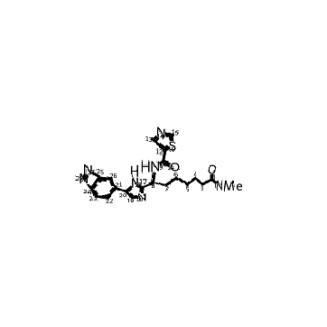 CNC(=O)CCCCC[C@H](NC(=O)c1cncs1)c1ncc(-c2ccc3c(c2)N=N3)[nH]1